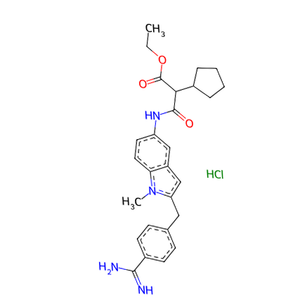 CCOC(=O)C(C(=O)Nc1ccc2c(c1)cc(Cc1ccc(C(=N)N)cc1)n2C)C1CCCC1.Cl